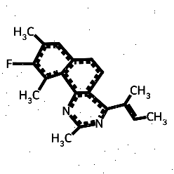 C/C=C(\C)c1nc(C)nc2c1ccc1cc(C)c(F)c(C)c12